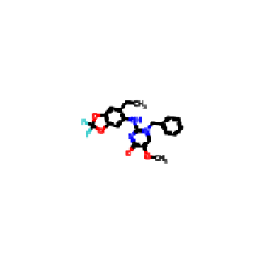 CCc1cc2c(cc1Nc1nc(=O)c(OC)cn1Cc1ccccc1)OC(F)(F)O2